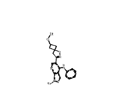 CCOC1CC2(CC(c3cnc4c(cnn4CC)c3Nc3ccccc3)=NO2)C1